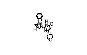 O=c1cc(N2CCOCC2)nc(N2C[C@H]3C[C@H]3[C@@H]2Cc2ccccc2)[nH]1